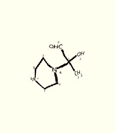 CC(O)(C=O)N1CCNCC1